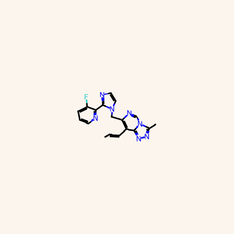 CC=Cc1c(Cn2ccnc2-c2ncccc2F)ncn2c(C)nnc12